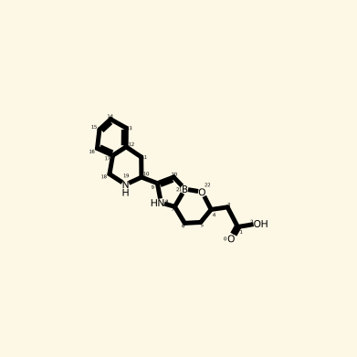 O=C(O)CC1CCC2NC(C3Cc4ccccc4CN3)=CB2O1